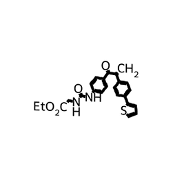 C=C(C(=O)c1ccc(NC(=O)NCC(=O)OCC)cc1)c1ccc(-c2cccs2)cc1